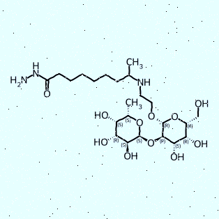 CC(CCCCCCC(=O)NN)NCCO[C@@H]1O[C@H](CO)[C@H](O)[C@H](O)[C@H]1O[C@@H]1O[C@@H](C)[C@@H](O)[C@@H](O)[C@@H]1O